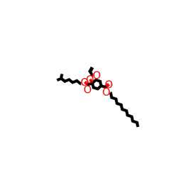 C=CC(=O)OC1(C(=O)OCCCCCC(C)C)CCC(C(=O)OCCCCCCCCCCCC)CC1